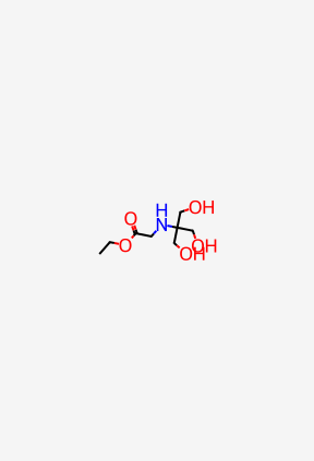 CCOC(=O)CNC(CO)(CO)CO